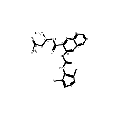 Cc1cccc(C)c1NC(=O)Nc1cc2ccccc2cc1C(=O)N[C@@H](CC(N)=O)C(=O)O